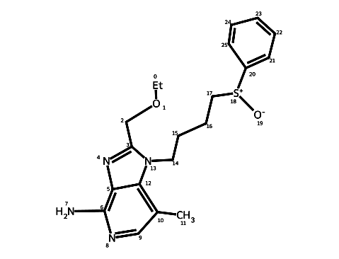 CCOCc1nc2c(N)ncc(C)c2n1CCCC[S+]([O-])c1ccccc1